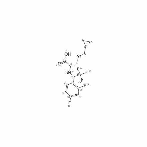 O=C(O)[C@H](CSCC1CC1)NC(c1ccc(F)cc1F)C(F)(F)F